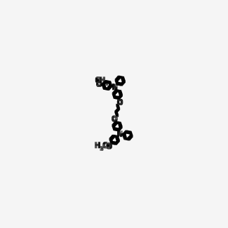 COc1ccc(N(c2ccccc2)c2ccc(OCCCCOc3ccc(N(c4ccccc4)c4ccc(OC)cc4)cc3)cc2)cc1